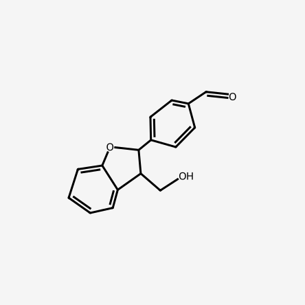 O=Cc1ccc(C2Oc3ccccc3C2CO)cc1